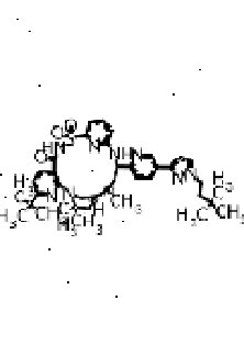 C[C@H]1CC(c2ccc(-c3ccn(CCC(C)(C)C)n3)cn2)Nc2cccc(n2)S(=O)(=O)NC(=O)c2ccc(C(C)(C)C)nc2N2C[C@@H]1CC2(C)C